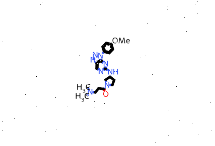 COc1ccc(-n2nnc3cnc(N[C@@H]4CCN(C(=O)CCN(C)C)C4)nc32)cc1